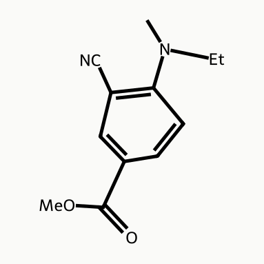 CCN(C)c1ccc(C(=O)OC)cc1C#N